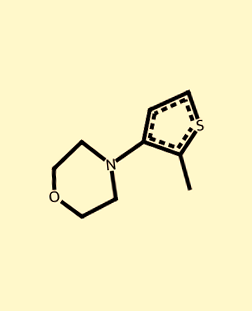 Cc1sccc1N1CCOCC1